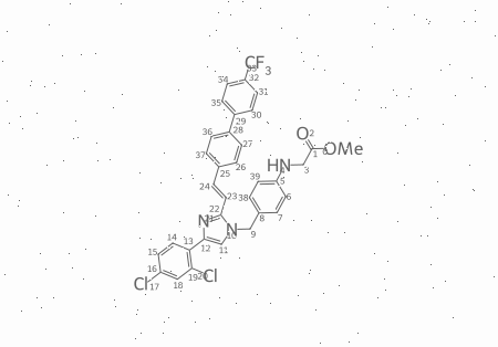 COC(=O)CNc1ccc(Cn2cc(-c3ccc(Cl)cc3Cl)nc2/C=C/c2ccc(-c3ccc(C(F)(F)F)cc3)cc2)cc1